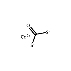 O=C([S-])[S-].[Cd+2]